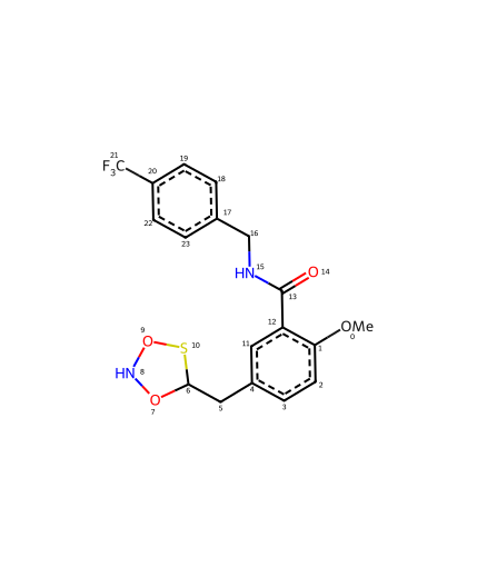 COc1ccc(CC2ONOS2)cc1C(=O)NCc1ccc(C(F)(F)F)cc1